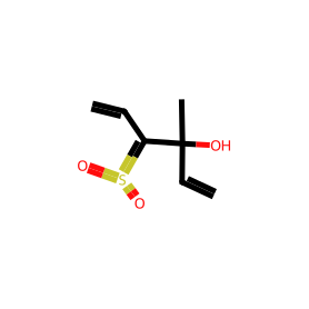 C=CC(=S(=O)=O)C(C)(O)C=C